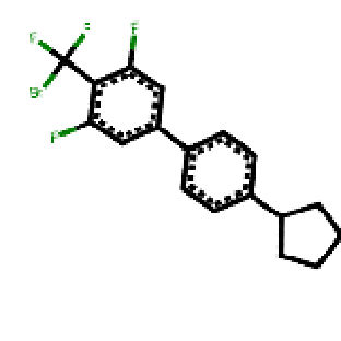 Fc1cc(-c2ccc(C3CCCC3)cc2)cc(F)c1C(F)(F)Br